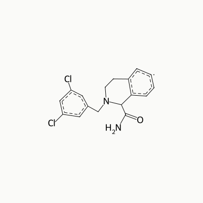 NC(=O)C1c2cc[c]cc2CCN1Cc1cc(Cl)cc(Cl)c1